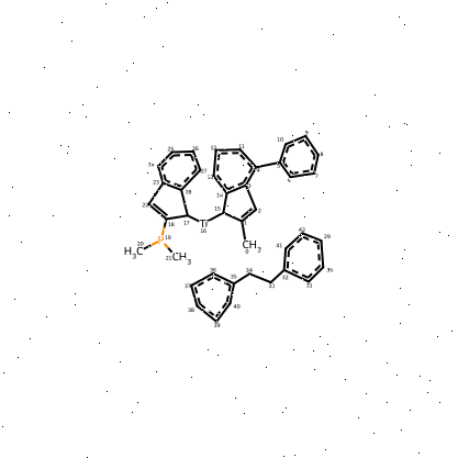 CC1=Cc2c(-c3ccccc3)cccc2[CH]1[Ti][CH]1C(P(C)C)=Cc2ccccc21.c1ccc(CCc2ccccc2)cc1